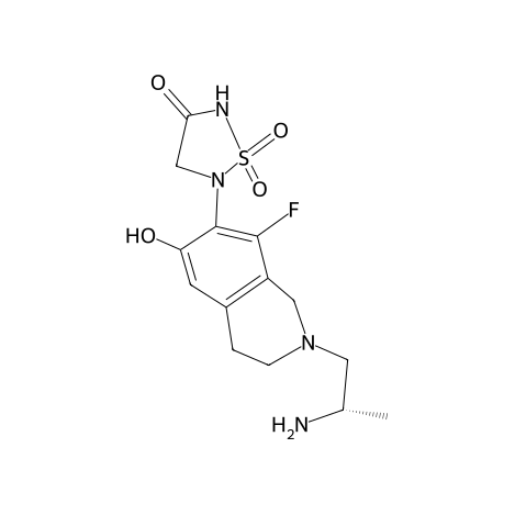 C[C@H](N)CN1CCc2cc(O)c(N3CC(=O)NS3(=O)=O)c(F)c2C1